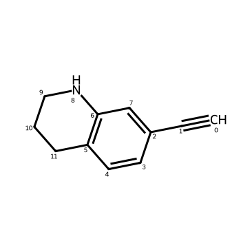 C#Cc1ccc2c(c1)NCCC2